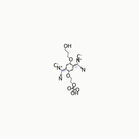 [C-]#[N+]/C(C#N)=c1/cc(OCCOS(=O)(=O)O)/c(=C(\C#N)[N+]#[C-])cc1OCCCO